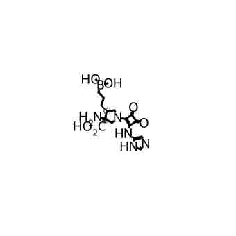 N[C@@]1(C(=O)O)CN(c2c(Nc3cnc[nH]3)c(=O)c2=O)C[C@@H]1CCCB(O)O